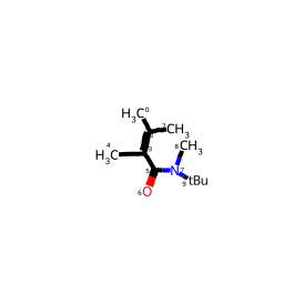 CC(C)=C(C)C(=O)N(C)C(C)(C)C